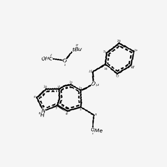 CC(C)(C)OC=O.COCc1cc2[nH]ccc2cc1OCc1ccccc1